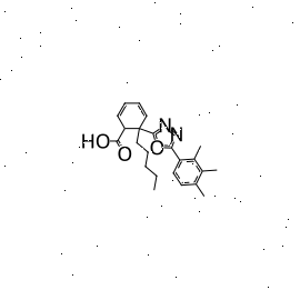 CCCCCC1(c2nnc(-c3ccc(C)c(C)c3C)o2)C=CC=CC1C(=O)O